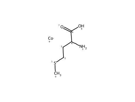 CSCCC(N)C(=O)O.[Co]